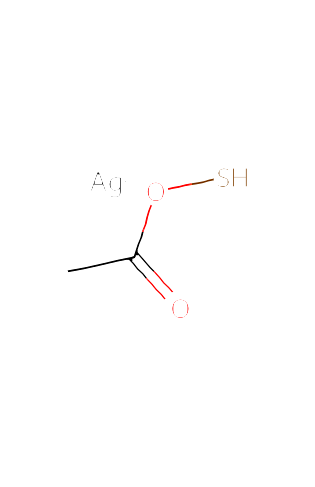 CC(=O)OS.[Ag]